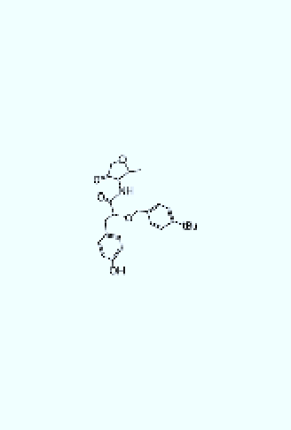 CC1OCC(=O)C1NC(=O)C(Cc1ccc(O)cc1)OCc1ccc(C(C)(C)C)cc1